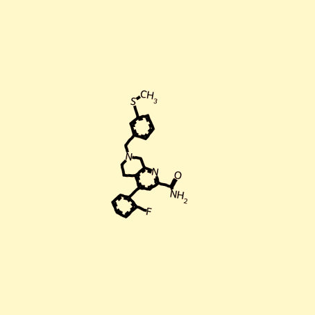 CSc1cccc(CN2CCc3c(-c4ccccc4F)cc(C(N)=O)nc3C2)c1